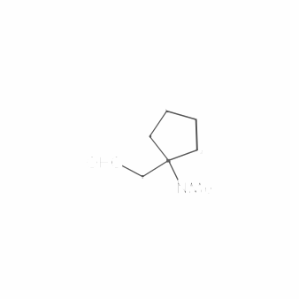 CNC1(CC=O)CCCC1